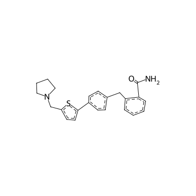 NC(=O)c1ccccc1Cc1ccc(-c2ccc(CN3CCCC3)s2)cc1